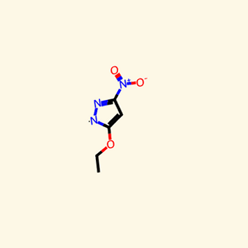 CCOC1=CC([N+](=O)[O-])=N[N]1